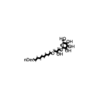 CCCCCCCCCCCCCCCCCCOCC(O)CO[C@H]1O[C@H](CO)[C@H](O)[C@H](O)[C@H]1O